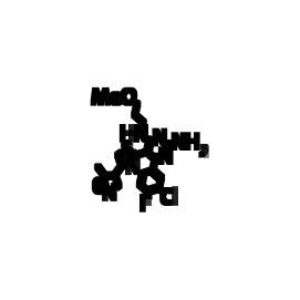 COCCCNc1nc(N)nc(-c2ccc(F)c(Cl)c2)c1-c1nc(-c2cnoc2C)cs1